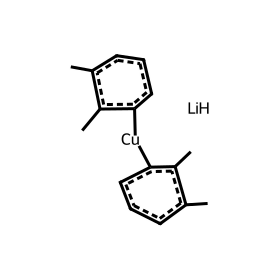 Cc1ccc[c]([Cu][c]2cccc(C)c2C)c1C.[LiH]